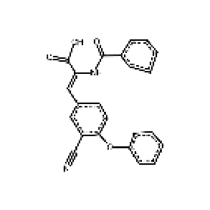 N#Cc1cc(/C=C(\NC(=O)c2ccccc2)C(=O)O)ccc1Oc1ccccc1